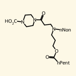 CCCCCCCCCN(CCCOC(=O)CCCCC)CCC(=O)N1CCN(C(=O)O)CC1